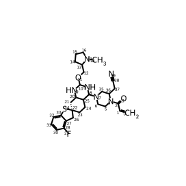 C=CC(=O)N1CCN(C2NC(OCC3CCCN3C)NC3C[C@]4(CCC32)Cc2c(F)cccc2S4)CC1CC#N